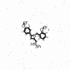 CC(C)NCC1CC(c2ccc(OC(F)(F)F)cc2)N1Cc1ccccc1OC(F)(F)F